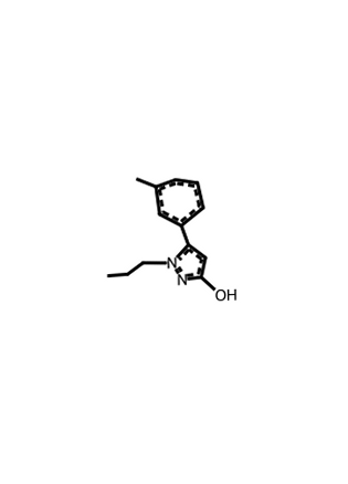 CCCn1nc(O)cc1-c1cccc(C)c1